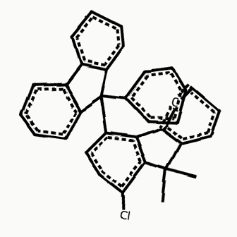 CC1(C)c2ccccc2-c2c(C3(c4ccccc4)c4ccccc4-c4ccccc43)ccc(Cl)c21